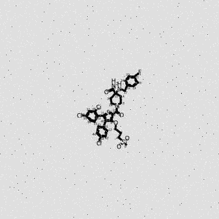 CS(=O)(=O)CCCOc1c(C(=O)N2CCC(NCc3ccc(F)cc3)(C(N)=O)CC2)sc(-c2ccc(Cl)cc2Cl)c1-c1ccc(Cl)cc1